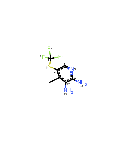 Cc1c(SC(F)(F)F)cnc(N)c1N